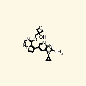 Cc1nc2ncc(-c3ccn4ncnc(OCC5(O)COC5)c34)cc2n1C1CC1